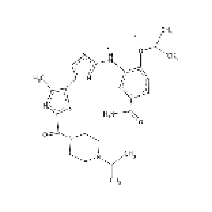 Cc1nc(C(=O)N2CCN(C(C)C)CC2)sc1-c1csc(Nc2cc(C(N)=O)ccc2OC(C)C)n1